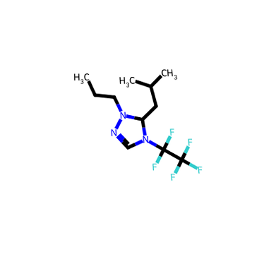 CCCN1N=CN(C(F)(F)C(F)(F)F)C1CC(C)C